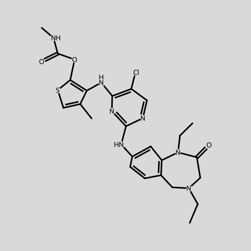 CCN1CC(=O)N(CC)c2cc(Nc3ncc(Cl)c(Nc4c(C)csc4OC(=O)NC)n3)ccc2C1